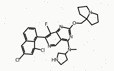 CN(c1nc(OCC23CCCN2CCC3)nc2c(F)c(-c3cccc4cc(Cl)cc(Cl)c34)ncc12)C1CCNC1